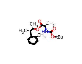 Cc1ccccc1[C@@H](C)[C@H](C)OC(=O)[C@H](C)NC(=O)OC(C)(C)C